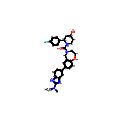 CN(C(=O)O)c1nc2cc(-c3ccc4c(c3)CN(C(=O)N3CC[C@H](O)C[C@@H]3c3ccc(F)cc3)CCO4)ccc2[nH]1